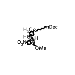 CCCCCCCCCCCCCCCCOc1cc(NS(=O)(=O)c2cc([N+](=O)[O-])ccc2OCCOC)c(O)cc1C